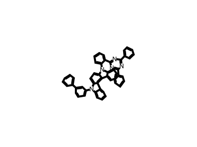 c1ccc(-c2cccc(-n3c4ccccc4c4c5c6ccccc6n(-c6ccccc6-c6nc(-c7ccccc7)nc(-c7ccccc7)n6)c5ccc43)c2)cc1